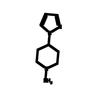 NN1CCC(n2cccn2)CC1